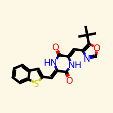 CC(C)(C)c1ocnc1/C=c1\[nH]c(=O)/c(=C/c2cc3ccccc3s2)[nH]c1=O